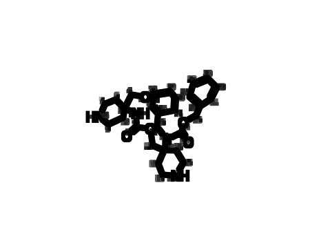 O=C(NC1(CO)CCNCC1)OCC1(N(Cc2ccccc2)C(=O)OCc2ccccc2)CCNCC1